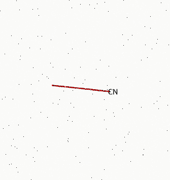 C#CC#CC#CC#CC#CC#CC#CC#CC#CC#CC#CC#CC#CC#CC#CC#CC#CC#CC#CC#CC#CC#CC#CC#CC#CC#CC#CC#CC#CC#CC#CC#CC#CC#CC#N